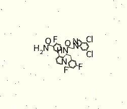 NC(=O)c1cc(-c2cccnc2C(Cc2cc(F)cc(F)c2)NC(=O)Cn2ncc3c(Cl)cc(Cl)cc32)ccc1F